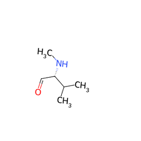 CN[C@@H](C=O)C(C)C